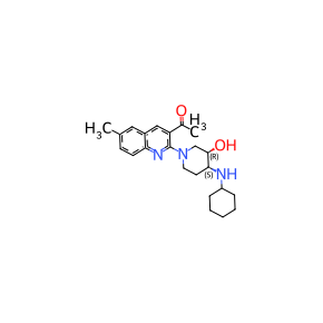 CC(=O)c1cc2cc(C)ccc2nc1N1CC[C@H](NC2CCCCC2)[C@H](O)C1